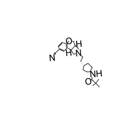 CC(C)(C)C(=O)N[C@H]1CC[C@H](CCN2C[C@H]3COc4ccc(C#N)cc4[C@@H]3C2)CC1